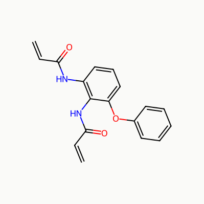 C=CC(=O)Nc1cccc(Oc2ccccc2)c1NC(=O)C=C